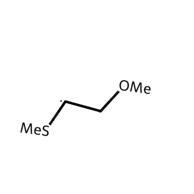 COC[CH]SC